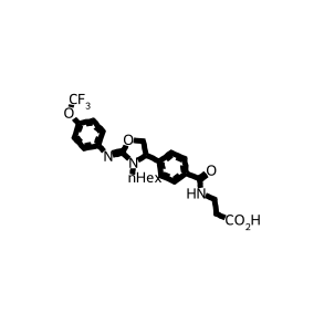 CCCCCCN1/C(=N/c2ccc(OC(F)(F)F)cc2)OCC1c1ccc(C(=O)NCCC(=O)O)cc1